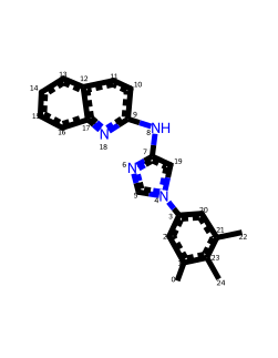 Cc1cc(-n2cnc(Nc3ccc4ccccc4n3)c2)cc(C)c1C